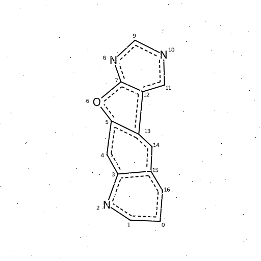 c1cnc2cc3oc4ncncc4c3cc2c1